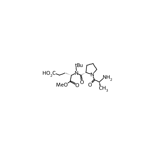 COC(=O)[C@H](CCC(=O)O)N(C(=O)[C@@H]1CCCN1C(=O)[C@H](C)N)C(C)(C)C